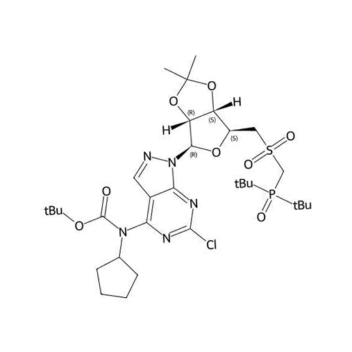 CC(C)(C)OC(=O)N(c1nc(Cl)nc2c1cnn2[C@@H]1O[C@H](CS(=O)(=O)CP(=O)(C(C)(C)C)C(C)(C)C)[C@H]2OC(C)(C)O[C@H]21)C1CCCC1